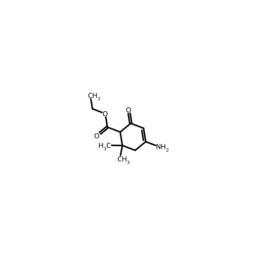 CCOC(=O)C1C(=O)C=C(N)CC1(C)C